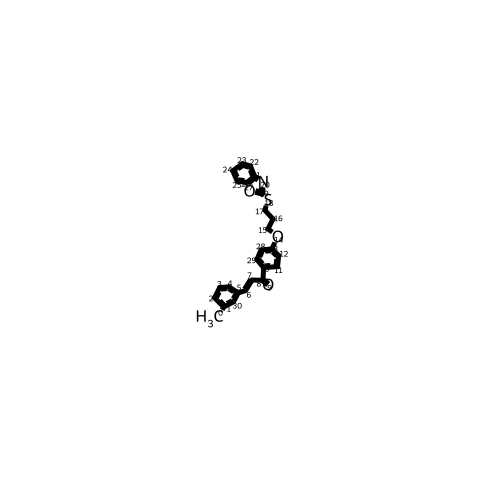 Cc1cccc(C=CC(=O)c2ccc(OCCCSc3nc4ccccc4o3)cc2)c1